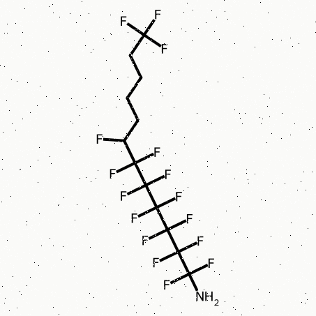 NC(F)(F)C(F)(F)C(F)(F)C(F)(F)C(F)(F)C(F)(F)C(F)CCCCC(F)(F)F